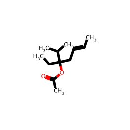 CC=CCC(CC)(OC(C)=O)C(C)C